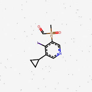 C[SH](=O)(C=O)c1cncc(C2CC2)c1I